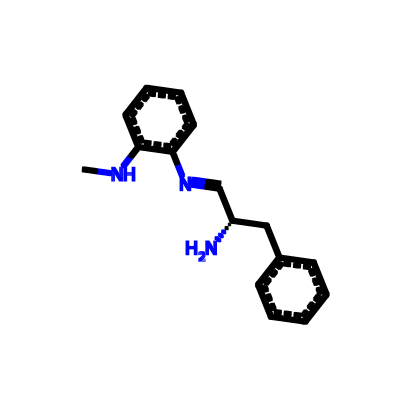 CNc1ccccc1N=C[C@@H](N)Cc1ccccc1